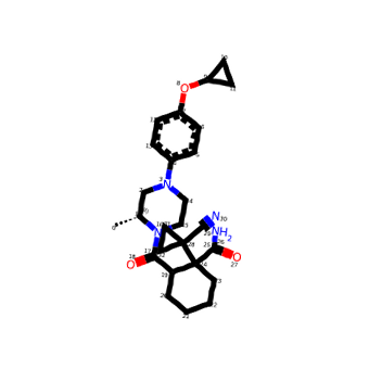 C[C@@H]1CN(c2ccc(OC3CC3)cc2)CCN1C(=O)C1CCCCC1(C(N)=O)C1(C#N)CC1